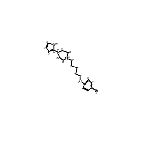 Brc1ccc(OCCCCCN2CCN(c3nccs3)CC2)cc1